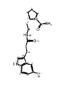 NC(=O)N1CCC[C@H]1CCNC(=O)[CH]Cc1c[nH]c2ccc(O)cc12